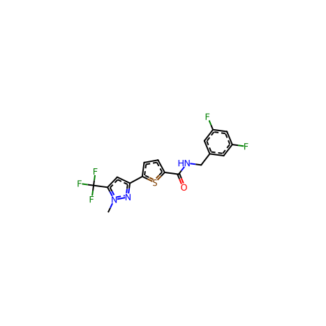 Cn1nc(-c2ccc(C(=O)NCc3cc(F)cc(F)c3)s2)cc1C(F)(F)F